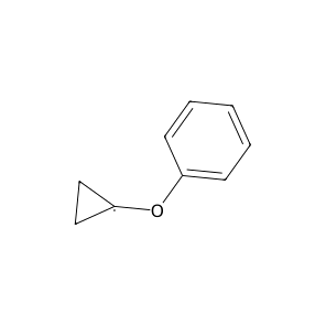 c1ccc(O[C]2CC2)cc1